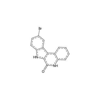 O=c1[nH]c2ccccc2c2c1[nH]c1ccc(Br)cc12